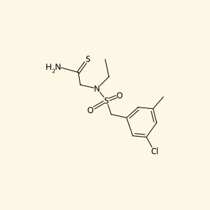 CCN(CC(N)=S)S(=O)(=O)Cc1cc(C)cc(Cl)c1